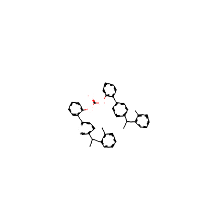 Cc1ccccc1C(C)c1ccc(-c2ccccc2OC(=O)Oc2ccccc2-c2ccc(C(C)c3ccccc3C)cc2)cc1